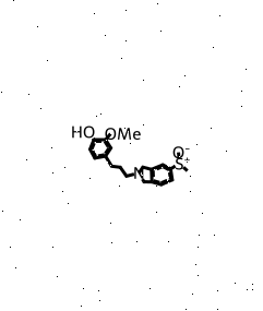 COc1cc(CCCN2Cc3ccc([S+](C)[O-])cc3C2)ccc1O